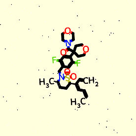 C=C/C(=C\C=C/C)[C@H]1CC[C@H](C)N(Cc2cc(F)c(C3(C(=O)N4CCOCC4)CCOCC3)cc2F)S1(=O)=O